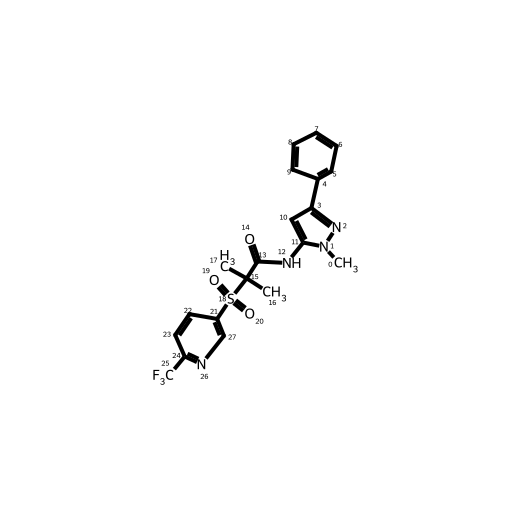 Cn1nc(-c2ccccc2)cc1NC(=O)C(C)(C)S(=O)(=O)c1ccc(C(F)(F)F)nc1